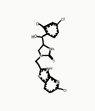 O=C1NC(C(O)c2ccc(Cl)cc2Cl)CN1Cc1nc2ccc(Cl)nc2[nH]1